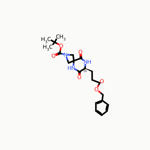 CC(C)(C)OC(=O)N1CC2(C1)NC(=O)[C@H](CCC(=O)OCc1ccccc1)NC2=O